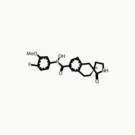 COc1cc(N(O)C(=O)c2ccc3c(c2)CC[C@]2(CCNC2=O)C3)ccc1F